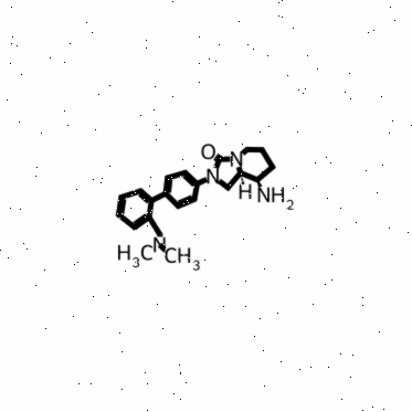 CN(C)Cc1ccccc1-c1ccc(N2C[C@@H]3[C@H](N)CCCN3C2=O)cc1